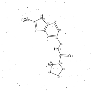 CCCCCCCCc1cc2cc(CNC(=O)C3CCCN3)ccc2[nH]1